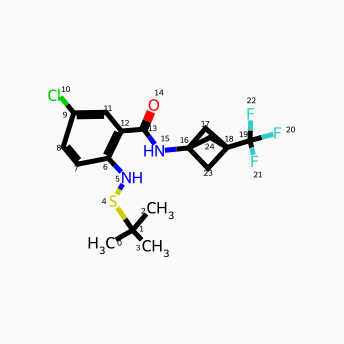 CC(C)(C)SNc1ccc(Cl)cc1C(=O)NC12CC(C(F)(F)F)(C1)C2